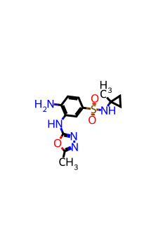 Cc1nnc(Nc2cc(S(=O)(=O)NC3(C)CC3)ccc2N)o1